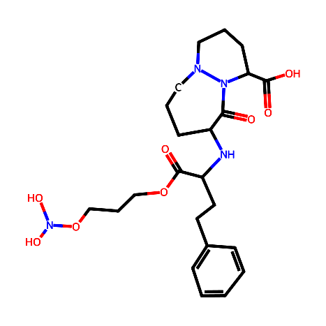 O=C(OCCCON(O)O)C(CCc1ccccc1)NC1CCCN2CCCC(C(=O)O)N2C1=O